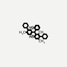 Cc1cc(O)c(C(c2ccccc2O)c2c(O)cc(C)c(C3CCCCC3)c2C)c(C)c1C1CCCCC1